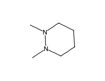 CN1CCCCN1C